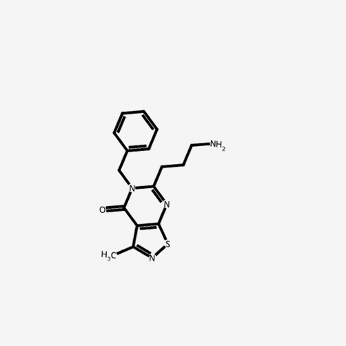 Cc1nsc2nc(CCCN)n(Cc3ccccc3)c(=O)c12